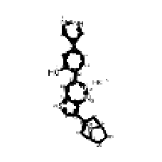 Cl.Oc1cc(-c2cn[nH]c2)ccc1-c1cc2scc(C3=CC4CCC(C3)N4)c2nn1